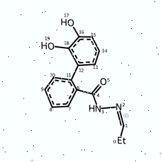 CC/C=N\NC(=O)c1ccccc1-c1cccc(O)c1O